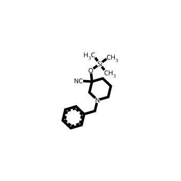 C[Si](C)(C)OC1(C#N)CCCN(Cc2ccccc2)C1